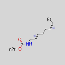 CC/C=C\CC/C=C/CNC(=O)OCCC